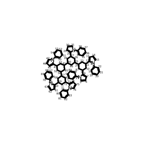 c1ccc(-n2cccc2C2CC(c3cccn3-c3ccccc3)CC(C3CC(c4cccn4-c4ccccc4)CC(C4CC(c5cccn5-c5ccccc5)CC(C5CC(c6cccn6-c6ccccc6)CC(c6cccn6-c6ccccc6)C5)C4)C3)C2)cc1